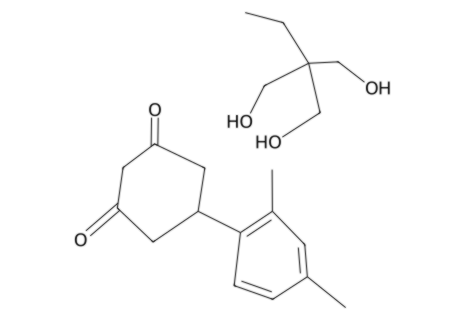 CCC(CO)(CO)CO.Cc1ccc(C2CC(=O)CC(=O)C2)c(C)c1